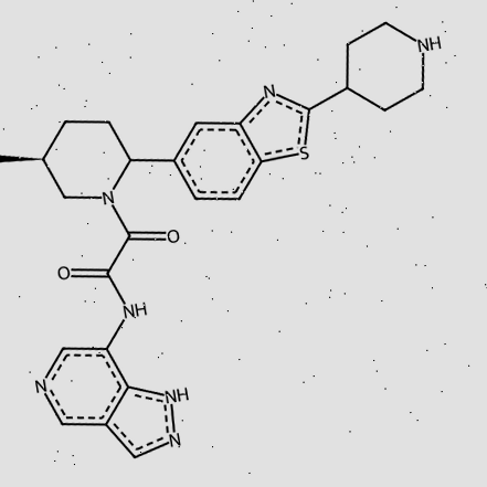 C[C@H]1CCC(c2ccc3sc(C4CCNCC4)nc3c2)N(C(=O)C(=O)Nc2cncc3cn[nH]c23)C1